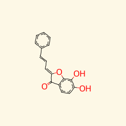 O=C1C(=CC=Cc2ccccc2)Oc2c1ccc(O)c2O